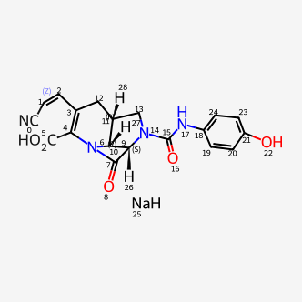 N#C/C=C\C1=C(C(=O)O)N2C(=O)[C@@H]3[C@H]2[C@H](C1)CN3C(=O)Nc1ccc(O)cc1.[NaH]